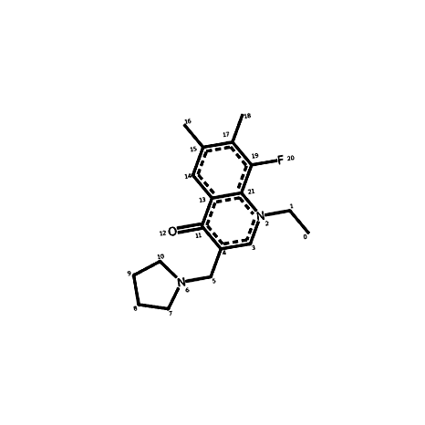 CCn1cc(CN2CCCC2)c(=O)c2cc(C)c(C)c(F)c21